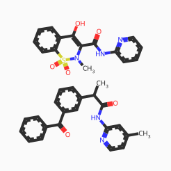 CN1C(C(=O)Nc2ccccn2)=C(O)c2ccccc2S1(=O)=O.Cc1ccnc(NC(=O)C(C)c2cccc(C(=O)c3ccccc3)c2)c1